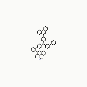 C=Cc1c(-c2ccccc2-c2ccc(N(c3ccc(-c4cc5ccccc5c5ccccc45)cc3)c3cccc(-c4ccccc4)c3)cc2)cc2ccccc2c1/C=C\C